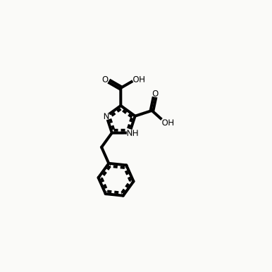 O=C(O)c1nc(Cc2ccccc2)[nH]c1C(=O)O